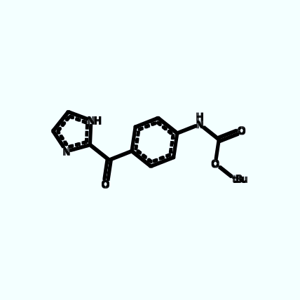 CC(C)(C)OC(=O)Nc1ccc(C(=O)c2ncc[nH]2)cc1